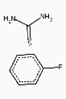 Fc1ccccc1.NC(N)=S